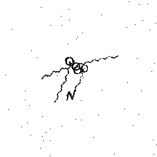 CCCCCCCCCC(COC(=O)C(CCCCCC)CCCCCCCC)OC(=O)CCCCCN(C)C